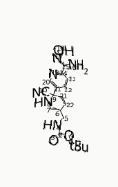 CC(C)(C)OC(=O)NCC1=CNC(C#N)(c2ccc(C(N)=NO)nc2)C=C1